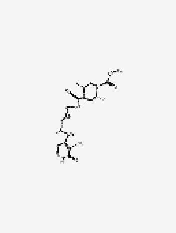 C[C@@H]1CN(C(=O)CCOC[C@H](C)Nc2cn[nH]c(=O)c2C(F)(F)F)[C@@H](C)CN1C(=O)OC(C)(C)C